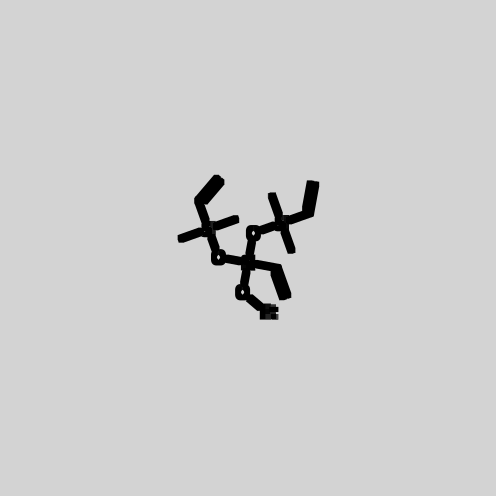 C=C[Si](C)(C)O[Si](C=C)(OCC)O[Si](C)(C)C=C